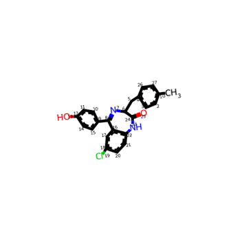 Cc1ccc(CC2N=C(c3ccc(O)cc3)c3cc(Cl)ccc3NC2=O)cc1